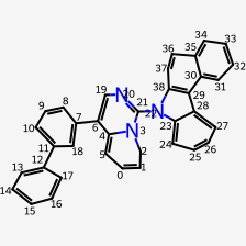 C1=CCN2C(=C1)C(c1cccc(-c3ccccc3)c1)=CN=C2n1c2ccccc2c2c3ccccc3ccc21